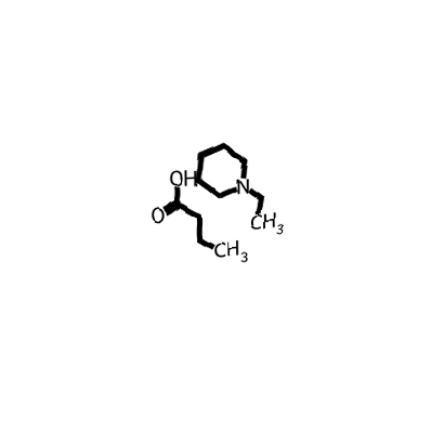 CCCC(=O)O.CCN1CCCCC1